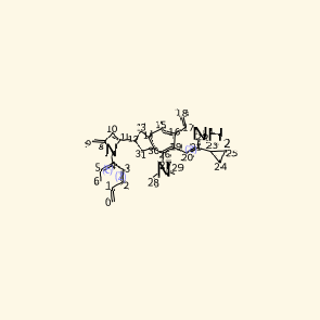 C=C/C=C\C(=C/C)N1C(=C)C=C1C1Cc2cc(C=C)c(/C=C(\N)C3CC3)c(N(C)C)c2C1